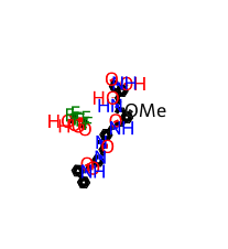 COc1ccc(CC(=O)NCc2ccc(N(C)C(=O)CCN3CCC(OC(=O)Nc4ccccc4-c4ccccc4)CC3)cc2)cc1CC(C)NC[C@H](O)c1ccc(O)c2[nH]c(=O)ccc12.O=C(O)C(F)(F)F.O=C(O)C(F)(F)F